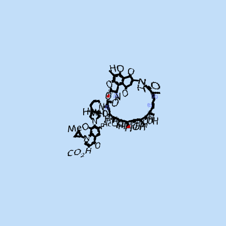 COc1c(N2C[C@@H]3CCCN(CCO/N=C4/c5c6c(C)c(O)c7c5C(=O)C=C(NC(=O)/C(C)=C\C=C\[C@H](C)[C@H](O)[C@@H](C)[C@@H](O)[C@@H](C)[C@H](OC(C)=O)[C@H](C)[C@@H](OC)/C=C/O[C@@]4(C)O6)C7=O)[C@@H]3C2)c(F)cc2c(=O)c(C(=O)O)cn(C3CC3)c12